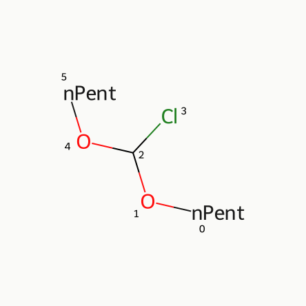 CCCCCOC(Cl)OCCCCC